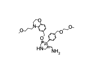 COCCCN1CCOc2ccc(CO[C@H]3CNC[C@H](CN)[C@@H]3c3ccc(COCCOC)cc3)cc21